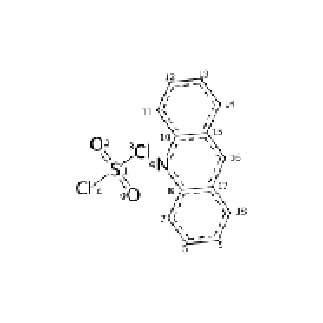 O=S(=O)(Cl)Cl.c1ccc2nc3ccccc3cc2c1